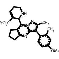 CCOC(=O)C1=CCCNC1c1c2c(nc3c(-c4ccc(OC)cc4C)c(C)nn13)CCC2